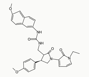 CCn1cccc(N2C[C@@H](c3ccc(OC)cc3)C(CNC(=O)Nc3ccc4cc(OC)ccc4c3)C2=O)c1=O